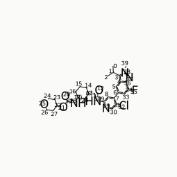 CC(C)c1c2cc(-c3cc(NC(=O)[C@H]4CCC[C@@H](NC(=O)OC5CCOCC5)C4)ncc3Cl)cc(F)c2nn1C